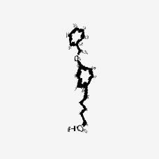 OCCCCCc1ccc(OCc2ccccc2)cc1